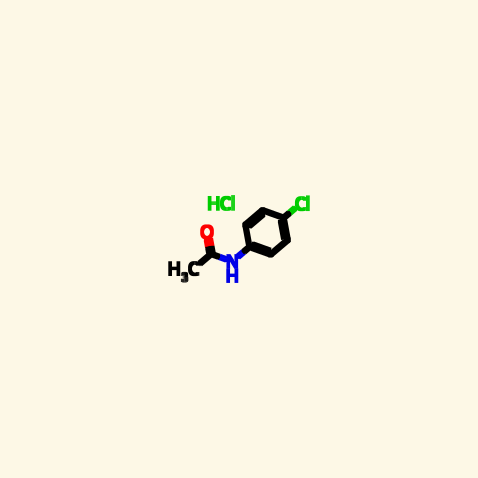 CC(=O)Nc1ccc(Cl)cc1.Cl